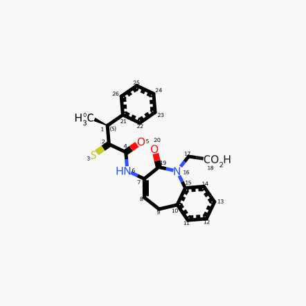 C[C@H](C(=S)C(=O)NC1=CCc2ccccc2N(CC(=O)O)C1=O)c1ccccc1